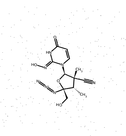 C[C@H]1[C@@](C)(C#N)[C@H](n2ccc(=O)[nH]/c2=N\O)O[C@@]1(CO)N=[N+]=[N-]